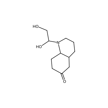 O=C1CCC2C(CCCN2C(O)CO)C1